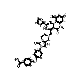 COC(=O)C1=C(CN2CCN3C(=O)N(c4ccc(Oc5ccc(C(=O)O)cc5)cc4)C[C@@H]3C2)NC(c2nccs2)=N[C@H]1c1ccc(Cl)cc1Cl